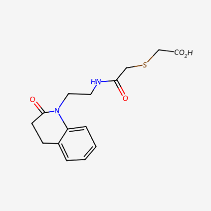 O=C(O)CSCC(=O)NCCN1C(=O)CCc2ccccc21